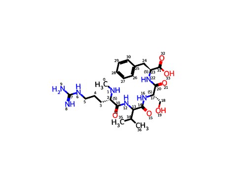 CN[C@@H](CCCNC(=N)N)C(=O)NC(C(=O)N[C@@H](CO)C(=O)N[C@@H](Cc1ccccc1)C(=O)O)C(C)C